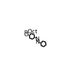 CCCCCCCCOc1ccc(N=Nc2ccccc2)cc1